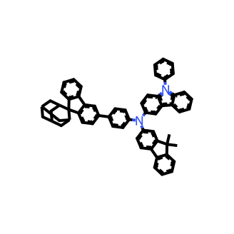 CC1(C)c2ccccc2-c2ccc(N(c3ccc(-c4ccc5c(c4)-c4ccccc4C54C5CC6CC(C5)CC4C6)cc3)c3ccc4c(c3)c3ccccc3n4-c3ccccc3)cc21